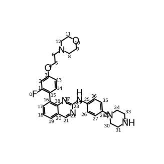 Fc1cc(OCCN2CCOCC2)ccc1-c1cccc2cnc(Nc3ccc(N4CCNCC4)cc3)nc12